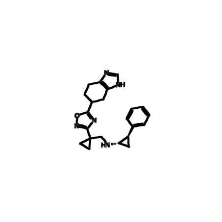 c1ccc([C@H]2C[C@@H]2NCC2(c3noc(C4CCc5nc[nH]c5C4)n3)CC2)cc1